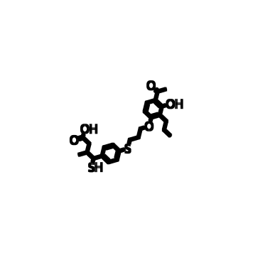 CCCc1c(OCCCSc2ccc(C(S)C(C)CC(=O)O)cc2)ccc(C(C)=O)c1O